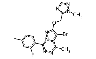 Cc1nnc(-c2ccc(F)cc2F)n2nc(OCc3ncnn3C)c(Br)c12